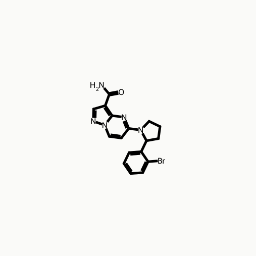 NC(=O)c1cnn2ccc(N3CCCC3c3ccccc3Br)nc12